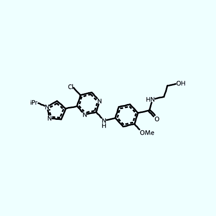 COc1cc(Nc2ncc(Cl)c(-c3cnn(C(C)C)c3)n2)ccc1C(=O)NCCO